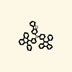 c1ccc(-c2c(-c3cccc(N(c4cccc(-c5c(-c6ccccc6)c6ccccc6c6ccccc56)c4)c4ccc5c(c4)oc4ccccc45)c3)c3ccccc3c3ccccc23)cc1